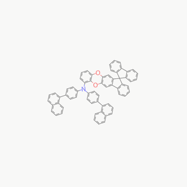 c1ccc2c(c1)-c1ccccc1C21c2ccccc2-c2cc3c(cc21)Oc1cccc(N(c2ccc(-c4cccc5ccccc45)cc2)c2ccc(-c4cccc5ccccc45)cc2)c1O3